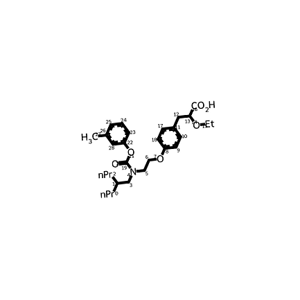 CCCC(CCC)CN(CCOc1ccc(CC(OCC)C(=O)O)cc1)C(=O)Oc1cccc(C)c1